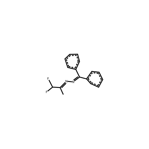 C/C(=N\N=C(c1ccccc1)c1ccccc1)C(F)F